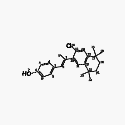 CC(=Cc1ccc(O)cc1)c1cc2c(cc1Cl)C(C)(C)CCC2(C)C